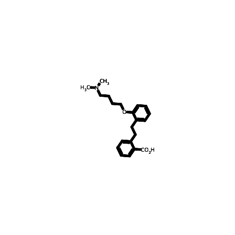 CN(C)CCCCOc1ccccc1CCc1ccccc1C(=O)O